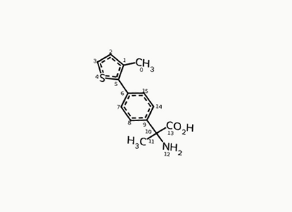 Cc1ccsc1-c1ccc(C(C)(N)C(=O)O)cc1